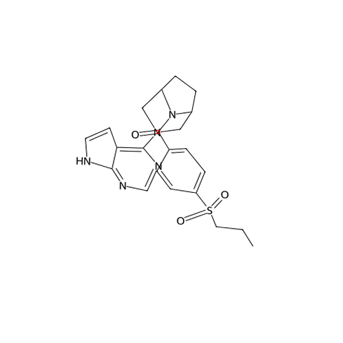 CCCS(=O)(=O)c1ccc(C(=O)N2C3CCC2CN(c2ncnc4[nH]ccc24)C3)cc1